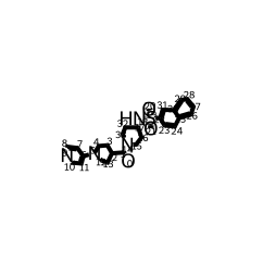 O=C(C1CCN(c2ccncc2)CC1)N1CCC(NS(=O)(=O)c2ccc3ccccc3c2)CC1